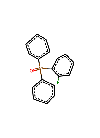 O=[S+](c1ccccc1)(c1ccccc1)c1ccccc1F